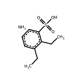 CCc1cccc(S(=O)(=O)O)c1CC.N